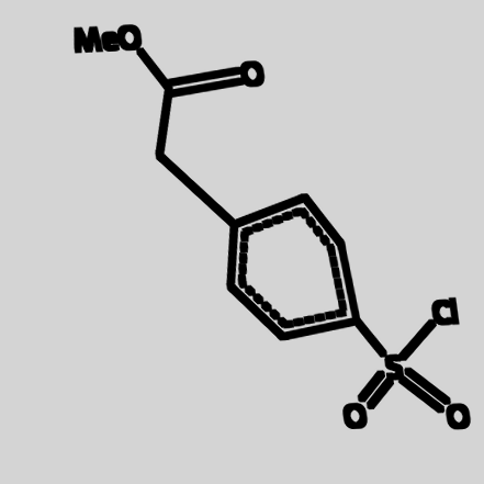 COC(=O)Cc1ccc(S(=O)(=O)Cl)cc1